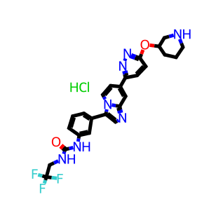 Cl.O=C(NCC(F)(F)F)Nc1cccc(-c2cnc3cc(-c4ccc(OC5CCCNC5)nn4)ccn23)c1